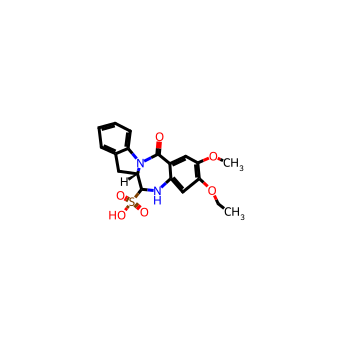 CCOc1cc2c(cc1OC)C(=O)N1c3ccccc3C[C@H]1C(S(=O)(=O)O)N2